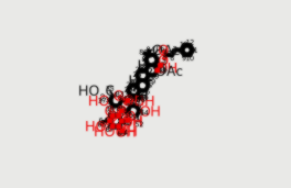 CC(=O)O[C@H]1[C@H](OC(=O)/C=C/c2ccccc2)[C@]2(CO)[C@H](OC(C)=O)C[C@]3(C)C(=CC[C@@H]4[C@@]5(C)CC[C@H](O[C@@H]6O[C@H](C(=O)O)[C@@H](O)[C@H](O[C@@H]7OC[C@H](O)[C@H](O)[C@H]7O[C@@H]7O[C@@H](C)[C@H](O)[C@@H](O)[C@H]7O)[C@H]6O[C@@H]6O[C@H](CO)[C@H](O)[C@H](O)[C@H]6O)C(C)(C)[C@@H]5CC[C@]43C)[C@@H]2CC1(C)C